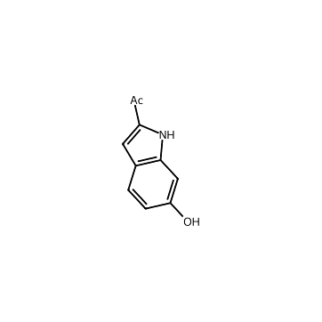 CC(=O)c1cc2ccc(O)cc2[nH]1